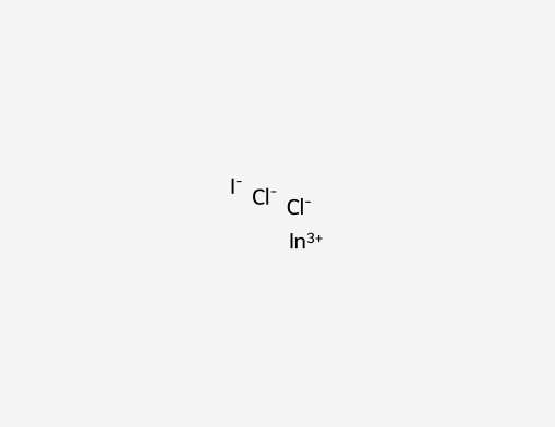 [Cl-].[Cl-].[I-].[In+3]